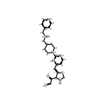 O=CC(=O)C1NCS/C1=C\c1ccnc(N2CCC(CNCc3ccncc3)CC2)n1